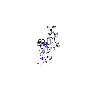 O=C(NCC(F)(F)F)c1cn(-c2cccc(-c3ccc(C4CC4)cc3)c2)c2ncccc2c1=O.O=C(O)O